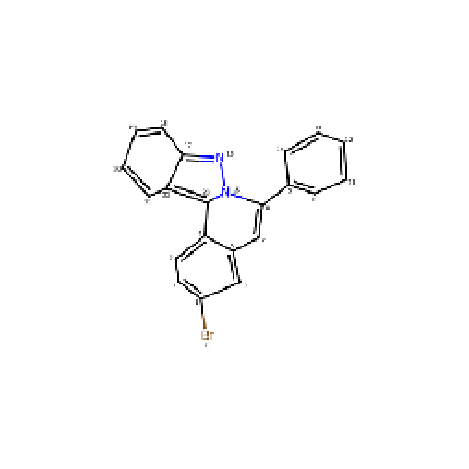 Brc1ccc2c(c1)cc(-c1ccccc1)n1nc3ccccc3c21